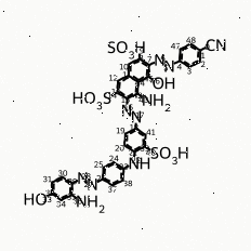 N#Cc1ccc(N=Nc2c(S(=O)(=O)O)cc3cc(S(=O)(=O)O)c(N=Nc4ccc(Nc5ccc(N=Nc6ccc(O)cc6N)cc5)c(S(=O)(=O)O)c4)c(N)c3c2O)cc1